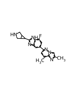 Cc1cn2nc(-c3cc(F)c4[nH]c(C5C6CNCC65)nc4c3)cc(C)c2n1